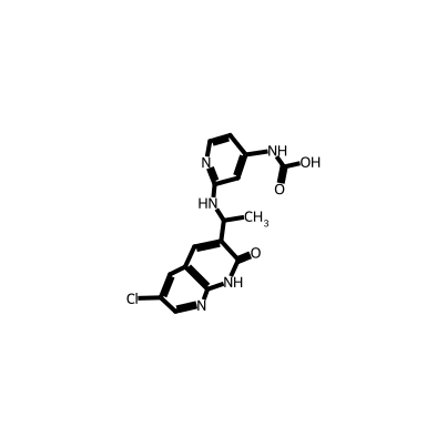 CC(Nc1cc(NC(=O)O)ccn1)c1cc2cc(Cl)cnc2[nH]c1=O